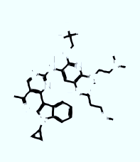 COCCC(=O)Nc1cc(Nc2ncc(C(C)=O)c(-c3cn(C4CC4)c4ccccc34)n2)c(OCC(F)(F)F)nc1N(C)CCN(C)C